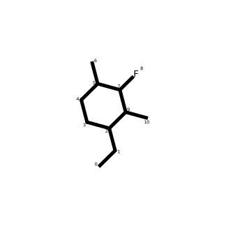 CCC1CCC(C)C(F)C1C